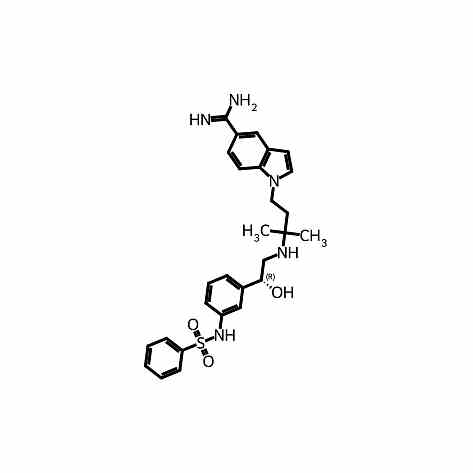 CC(C)(CCn1ccc2cc(C(=N)N)ccc21)NC[C@H](O)c1cccc(NS(=O)(=O)c2ccccc2)c1